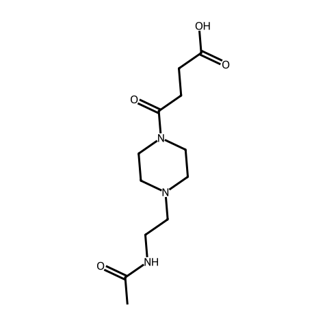 CC(=O)NCCN1CCN(C(=O)CCC(=O)O)CC1